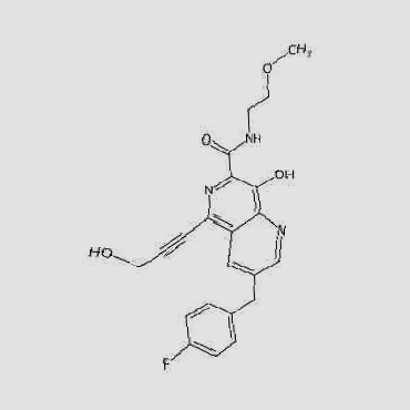 COCCNC(=O)c1nc(C#CCO)c2cc(Cc3ccc(F)cc3)cnc2c1O